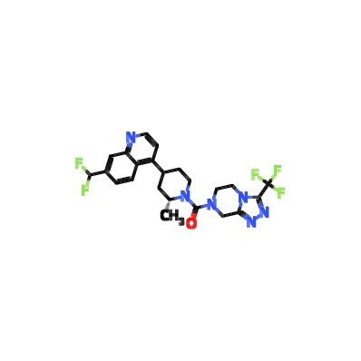 C[C@@H]1CC(c2ccnc3cc(C(F)F)ccc23)CCN1C(=O)N1CCn2c(nnc2C(F)(F)F)C1